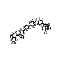 O=C1CCC(Nc2ccc(CN3CCN(c4ccc(-c5cnc6c(-c7ccnc8ccccc78)cnn6c5)cc4)CC3)cc2)C(=O)N1